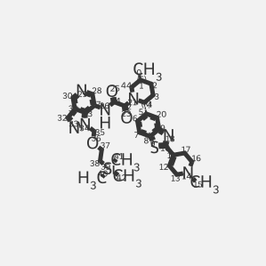 C[C@H]1CC[C@H](c2ccc3sc(C4=CCN(C)CC4)nc3c2)N(C(=O)C(=O)Nc2cncc3cnn(COCC[Si](C)(C)C)c23)C1